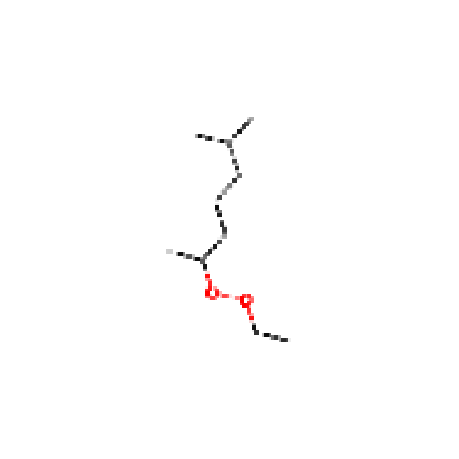 CCOOC(C)CCCC(C)C